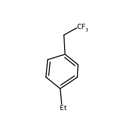 CCc1ccc(CC(F)(F)F)cc1